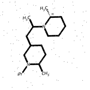 CC(C)N1CC(CC(C)N2CCCC[C@H]2C)CCC1C